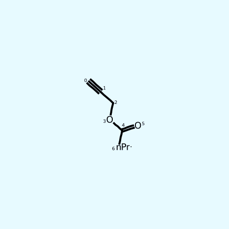 C#CCOC(=O)[CH]CC